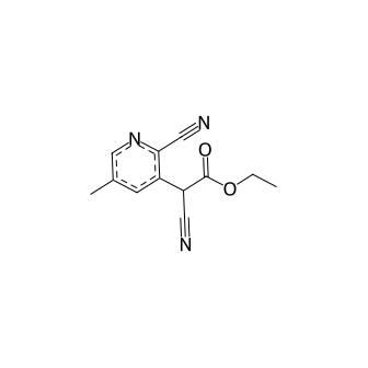 CCOC(=O)C(C#N)c1cc(C)cnc1C#N